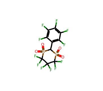 O=S1(=O)C(c2c(F)c(F)c(F)c(F)c2F)S(=O)(=O)C(F)(F)C(F)(F)C1(F)F